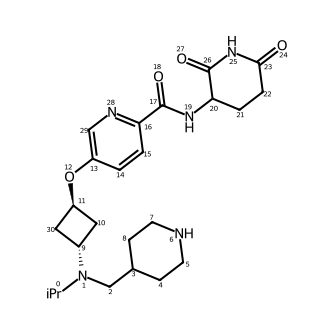 CC(C)N(CC1CCNCC1)[C@H]1C[C@H](Oc2ccc(C(=O)NC3CCC(=O)NC3=O)nc2)C1